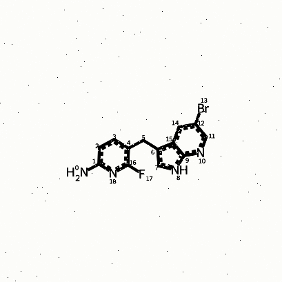 Nc1ccc(Cc2c[nH]c3ncc(Br)cc23)c(F)n1